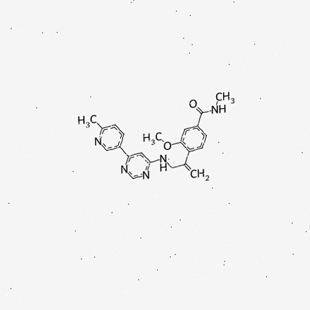 C=C(CNc1cc(-c2ccc(C)nc2)ncn1)c1ccc(C(=O)NC)cc1OC